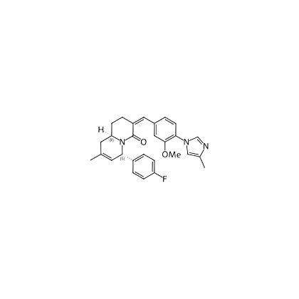 COc1cc(/C=C2/CC[C@@H]3CC(C)=C[C@@H](c4ccc(F)cc4)N3C2=O)ccc1-n1cnc(C)c1